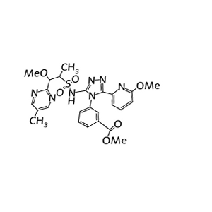 COC(=O)c1cccc(-n2c(NS(=O)(=O)C(C)C(OC)c3ncc(C)cn3)nnc2-c2cccc(OC)n2)c1